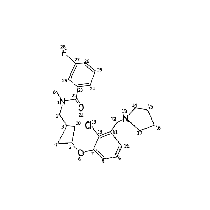 CN(CC1CC(Oc2cccc(CN3CCCC3)c2Cl)C1)C(=O)c1cccc(F)c1